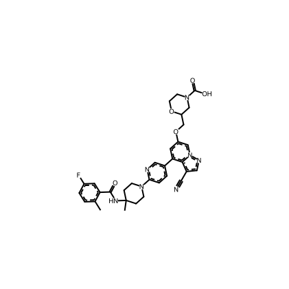 Cc1ccc(F)cc1C(=O)NC1(C)CCN(c2ccc(-c3cc(OCC4CN(C(=O)O)CCO4)cn4ncc(C#N)c34)cn2)CC1